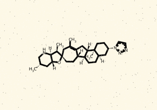 CC1=C2C[C@H]3[C@@H](CC[C@@H]4C[C@@H](n5ccnn5)CC[C@@]43C)[C@@H]2CC[C@@]2(C1)O[C@@H]1C[C@H](C)CN[C@H]1[C@H]2C